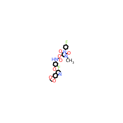 CCn1cc(OC(=O)Nc2ccc(Oc3ccnc4cc5c(cc34)OCCO5)c(F)c2)c(=O)n(-c2ccc(F)cc2)c1=O